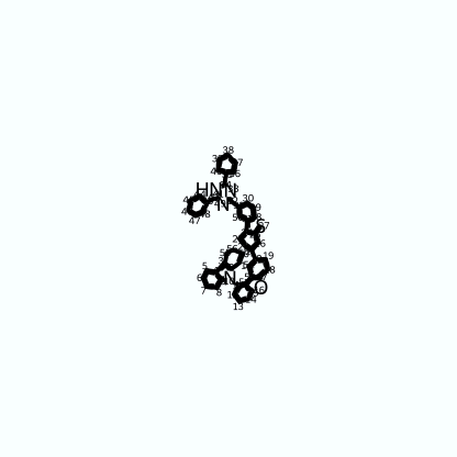 C1=Cc2c(c3ccccc3n2-c2cccc3oc4ccc(-c5ccc6c(c5)sc5ccc(C7=NC(c8ccccc8)NC(c8ccccc8)=N7)cc56)cc4c23)CC1